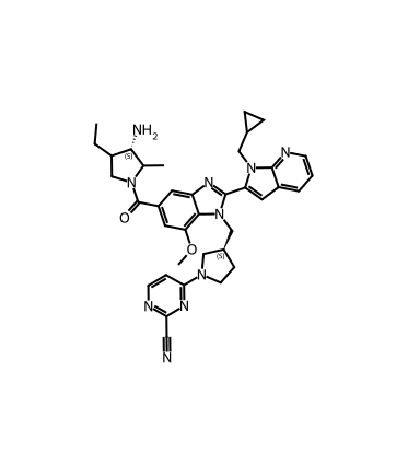 CCC1CN(C(=O)c2cc(OC)c3c(c2)nc(-c2cc4cccnc4n2CC2CC2)n3C[C@H]2CCN(c3ccnc(C#N)n3)C2)C(C)[C@H]1N